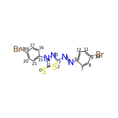 S=c1sc(N=Nc2ccc(Br)cc2)nn1-c1ccc(Br)cc1